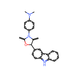 C=C1OC(c2ccc3[nH]c4ccccc4c3c2)C(=C)N1c1ccc(N(C)C)cc1